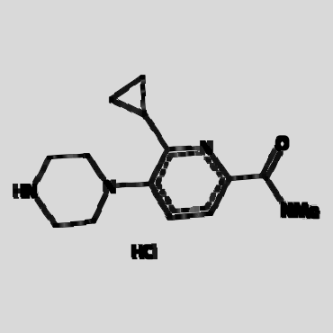 CNC(=O)c1ccc(N2CCNCC2)c(C2CC2)n1.Cl